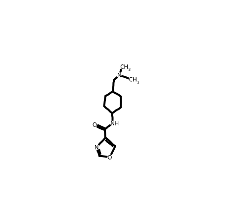 CN(C)CC1CCC(NC(=O)c2cocn2)CC1